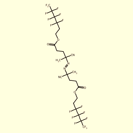 CC(C#N)(CCC(=O)OCCC(F)(F)C(F)(F)C(F)(F)C(F)(F)F)N=NC(C)(C#N)CCC(=O)OCCC(F)(F)C(F)(F)C(F)(F)C(F)(F)F